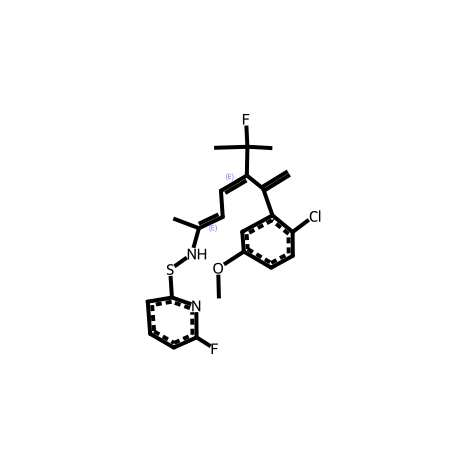 C=C(/C(=C\C=C(/C)NSc1cccc(F)n1)C(C)(C)F)c1cc(OC)ccc1Cl